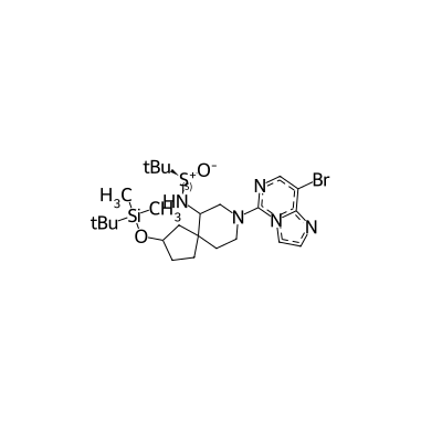 CC(C)(C)[S@@+]([O-])NC1CN(c2ncc(Br)c3nccn23)CCC12CCC(O[Si](C)(C)C(C)(C)C)C2